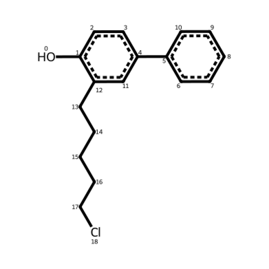 Oc1ccc(-c2ccccc2)cc1CCCCCCl